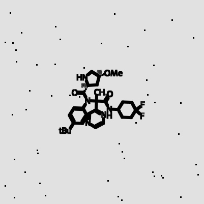 CO[C@H]1CN[C@@H](C(=O)N(c2ccc(C(C)(C)C)cc2)C(C)(C(=O)NC2CCC(F)(F)CC2)c2cnccn2)C1